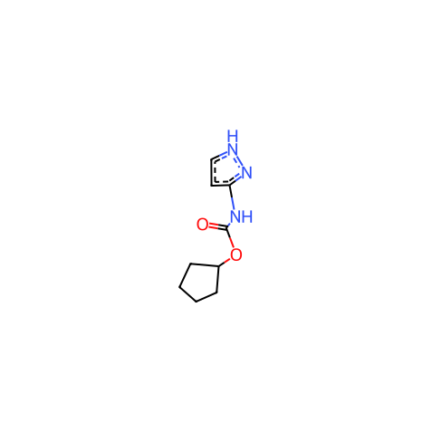 O=C(Nc1cc[nH]n1)OC1CCCC1